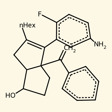 C=C(c1ccccc1)C12CCC(O)C1CC(CCCCCC)=C2c1cc(N)ccc1F